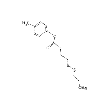 COCCSSCCCC(=O)Oc1ccc(C)cc1